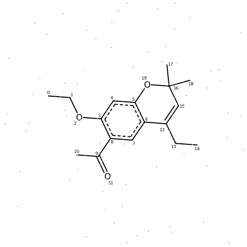 CCOc1cc2c(cc1C(C)=O)C(CC)=CC(C)(C)O2